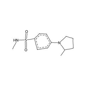 CNS(=O)(=O)c1ccc(N2CCCC2C)cc1